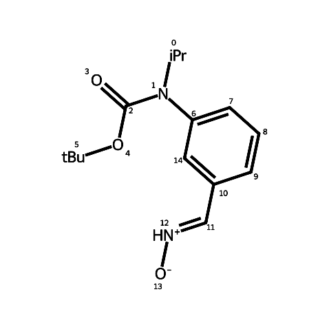 CC(C)N(C(=O)OC(C)(C)C)c1cccc(C=[NH+][O-])c1